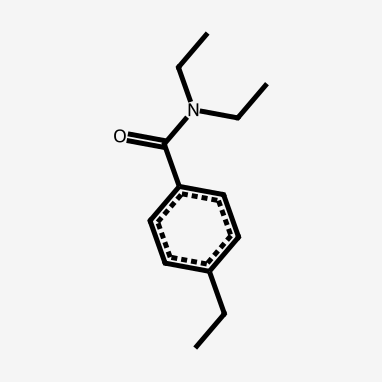 CCc1ccc(C(=O)N(CC)CC)cc1